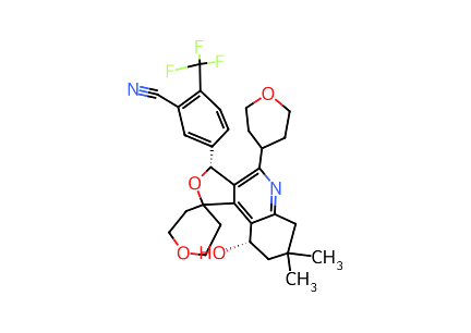 CC1(C)Cc2nc(C3CCOCC3)c3c(c2[C@@H](O)C1)C1(CCOCC1)O[C@@H]3c1ccc(C(F)(F)F)c(C#N)c1